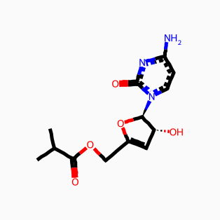 CC(C)C(=O)OCC1=C[C@@H](O)[C@H](n2ccc(N)nc2=O)O1